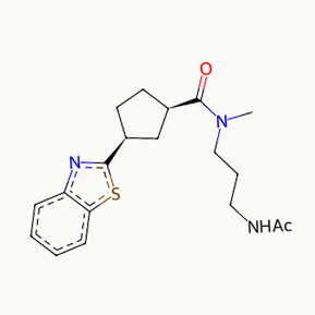 CC(=O)NCCCN(C)C(=O)[C@@H]1CC[C@H](c2nc3ccccc3s2)C1